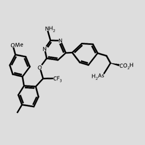 COc1ccc(-c2cc(C)ccc2C(Oc2cc(-c3ccc(C[C@H]([AsH2])C(=O)O)cc3)nc(N)n2)C(F)(F)F)cc1